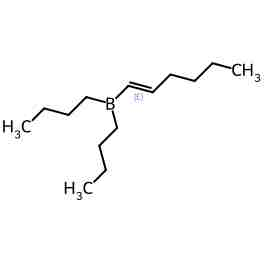 CCCC/C=C/B(CCCC)CCCC